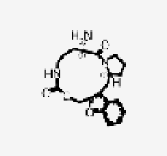 N[C@H]1CCCNC(=O)CCc2oc3ccccc3c2C[C@@H]2CCCN2C1=O